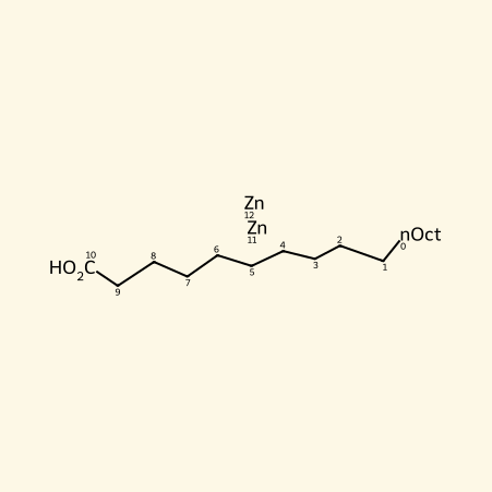 CCCCCCCCCCCCCCCCCC(=O)O.[Zn].[Zn]